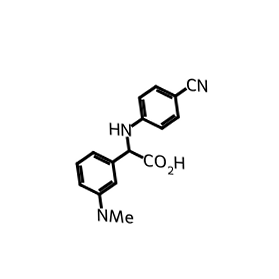 CNc1cccc(C(Nc2ccc(C#N)cc2)C(=O)O)c1